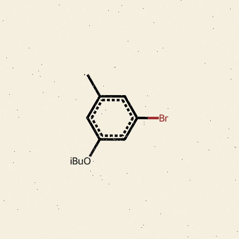 [CH2]c1cc(Br)cc(OCC(C)C)c1